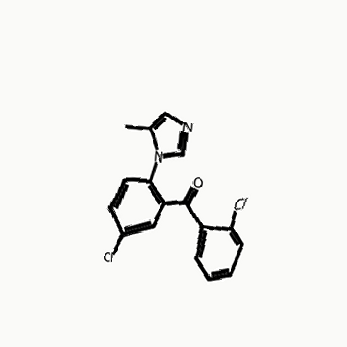 Cc1cncn1-c1ccc(Cl)cc1C(=O)c1ccccc1Cl